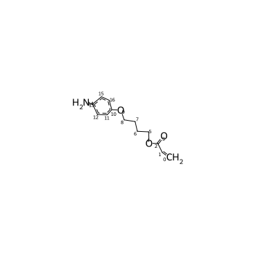 C=CC(=O)OCCCCOc1ccc(N)cc1